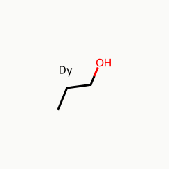 CCCO.[Dy]